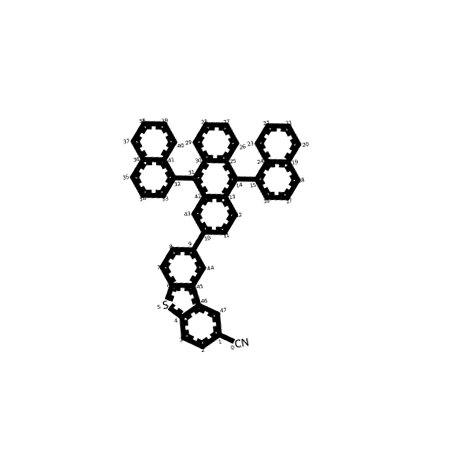 N#Cc1ccc2sc3ccc(-c4ccc5c(-c6cccc7ccccc67)c6ccccc6c(-c6cccc7ccccc67)c5c4)cc3c2c1